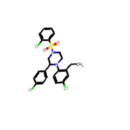 CCc1cc(Cl)ccc1N1CCN(S(=O)(=O)c2ccccc2Cl)CC1c1ccc(Cl)cc1